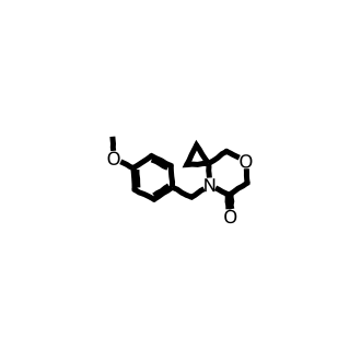 COc1ccc(CN2C(=O)COCC23CC3)cc1